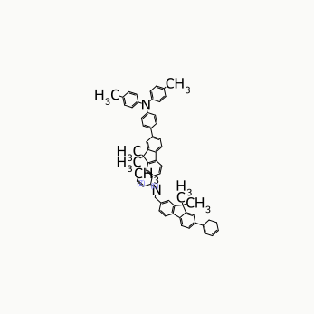 C/C=C\C(=N/Cc1ccc2c(c1)C(C)(C)c1cc(C3=CC=CCC3)ccc1-2)c1ccc2c(c1)C(C)(C)c1cc(-c3ccc(N(c4ccc(C)cc4)c4ccc(C)cc4)cc3)ccc1-2